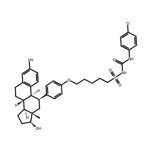 C[C@]12C[C@H](c3ccc(OCCCCCS(=O)(=O)NC(=O)Nc4ccc(Cl)cc4)cc3)[C@@H]3c4ccc(O)cc4CC[C@H]3[C@@H]1CC[C@@H]2O